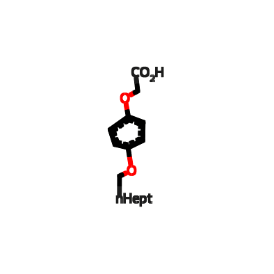 CCCCCCCCOc1ccc(OCC(=O)O)cc1